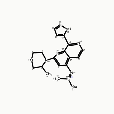 CC1COCCN1c1cc(/N=S(\C)C(C)(C)C)c2ccnc(-c3ccn[nH]3)c2n1